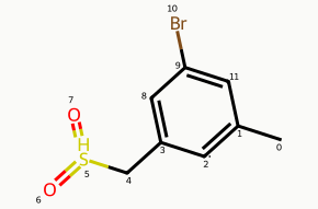 Cc1[c]c(C[SH](=O)=O)cc(Br)c1